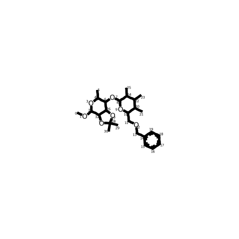 COC1OC(C)C(OC2OC(COCc3ccccc3)C(C)C(C)C2C)C2OC(C)(C)OC12